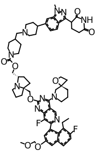 CCc1c(F)ccc2cc(OCOC)cc(-c3ncc4c(N5CCC[C@@]6(CCO6)C5)nc(OC[C@@]56CCCN5[C@H](COC(=O)N5CCC(CN7CCC(c8ccc9c(C%10CCC(=O)NC%10=O)nn(C)c9c8)CC7)CC5)CC6)nc4c3F)c12